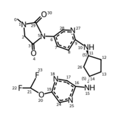 CN1CC(=O)N(c2ccc(N[C@H]3CC[C@H](Nc4cnc(OC(F)F)cn4)C3)nc2)C1=O